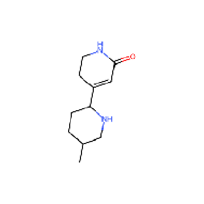 CC1CCC(C2=CC(=O)NCC2)NC1